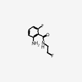 Nc1cccc(F)c1C(=O)NCCF